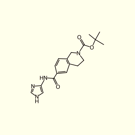 CC(C)(C)OC(=O)N1CCc2cc(C(=O)Nc3c[nH]cn3)ccc2C1